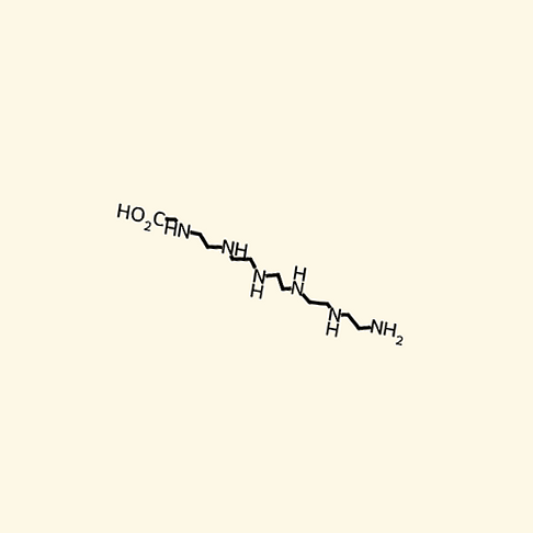 NCCNCCNCCNCCNCCNCC(=O)O